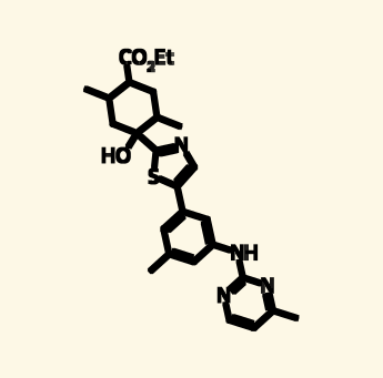 CCOC(=O)C1CC(C)C(O)(c2ncc(-c3cc(C)cc(Nc4nccc(C)n4)c3)s2)CC1C